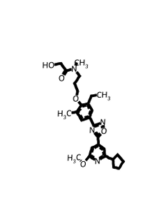 CCc1cc(-c2noc(-c3cc(OC)nc(C4CCCC4)c3)n2)cc(C)c1OCCCN(C)C(=O)CO